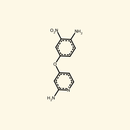 Nc1cc(Oc2ccc(N)c([N+](=O)[O-])c2)ccn1